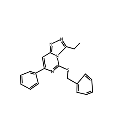 CCc1nnc2cc(-c3ccccc3)nc(SCc3ccccc3)n12